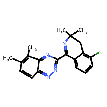 Cc1ccc2nnc(C3=NC(C)(C)Cc4c(Cl)cccc43)nc2c1C